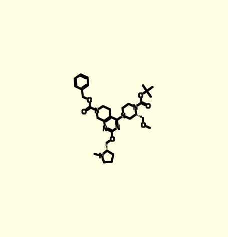 COC[C@@H]1CN(c2nc(OC[C@@H]3CCCN3C)nc3c2CCN(C(=O)OCc2ccccc2)C3)CCN1C(=O)OC(C)(C)C